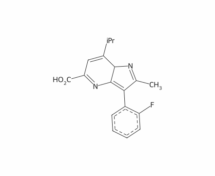 CC1=NC2C(C(C)C)=CC(C(=O)O)=NC2=C1c1ccccc1F